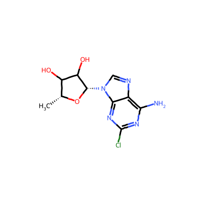 C[C@H]1O[C@@H](n2cnc3c(N)nc(Cl)nc32)C(O)C1O